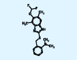 Cc1cc2[nH]c(SCc3ccccc3N(C)C)nc2c(C)c1OC(F)F